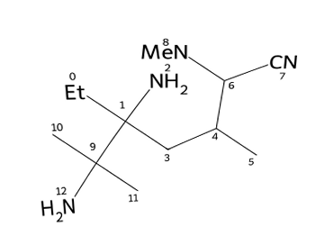 CCC(N)(CC(C)C(C#N)NC)C(C)(C)N